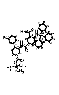 CC(C)(C)OC(=O)N1CCC(c2cccc(F)c2)C(NC(=O)c2ccc(NC(c3ccccc3)(c3ccccc3)c3ccccc3)c(C(=N)Br)c2)C1